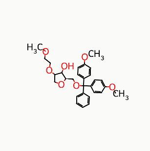 COCCOC1CO[C@H](COC(c2ccccc2)(c2ccc(OC)cc2)c2ccc(OC)cc2)C1O